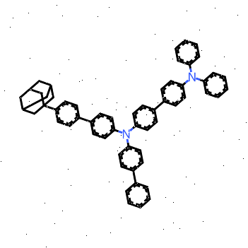 c1ccc(-c2ccc(N(c3ccc(-c4ccc(N(c5ccccc5)c5ccccc5)cc4)cc3)c3ccc(-c4ccc(C56CC7CC(CC(C7)C5)C6)cc4)cc3)cc2)cc1